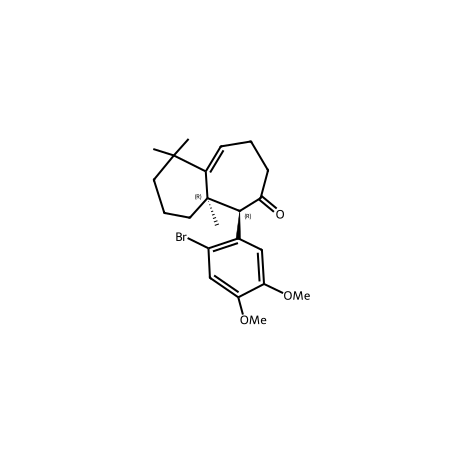 COc1cc(Br)c([C@@H]2C(=O)CCC=C3C(C)(C)CCC[C@@]32C)cc1OC